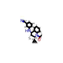 CC(=O)N1c2ccccc2[C@H](Nc2cccc(C#N)c2)[C@@H](C)[C@H]1C1CC1